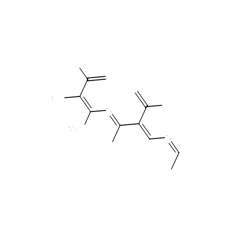 C=C(F)\C(=C(/N=C(C)/C(=C/N=C\C)C(=C)C(F)(F)F)OC)C(F)(F)F